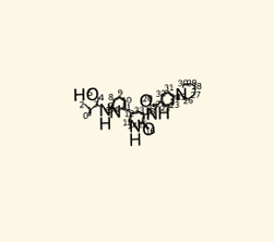 C=C(C)C(CO)Nc1cccc(-c2c[nH]c(=O)c(NC(=O)c3ccc(N4CCCCC4)cc3)c2)n1